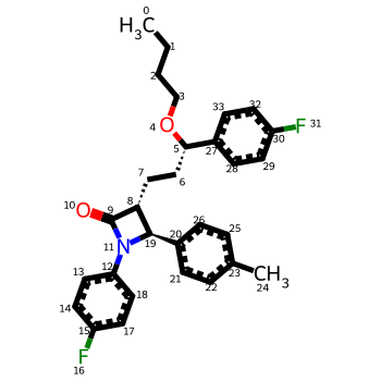 CCCCO[C@@H](CC[C@H]1C(=O)N(c2ccc(F)cc2)[C@@H]1c1ccc(C)cc1)c1ccc(F)cc1